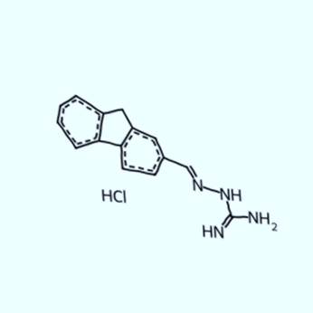 Cl.N=C(N)NN=Cc1ccc2c(c1)Cc1ccccc1-2